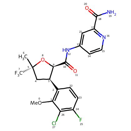 COc1c([C@H]2C[C@](C)(C(F)(F)F)O[C@H]2C(=O)Nc2ccnc(C(N)=O)c2)ccc(F)c1Cl